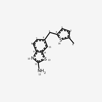 Cc1ccc(Cc2ccc3nc(N)sc3c2)s1